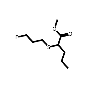 CCCC(SCCCF)C(=O)OC